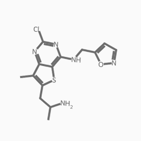 Cc1c(CC(C)N)sc2c(NCc3ccno3)nc(Cl)nc12